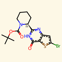 CC(C)(C)OC(=O)N1CCCC[C@H]1c1nc2cc(Br)sc2c(=O)[nH]1